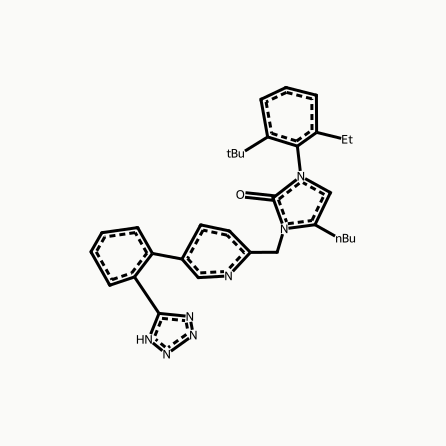 CCCCc1cn(-c2c(CC)cccc2C(C)(C)C)c(=O)n1Cc1ccc(-c2ccccc2-c2nnn[nH]2)cn1